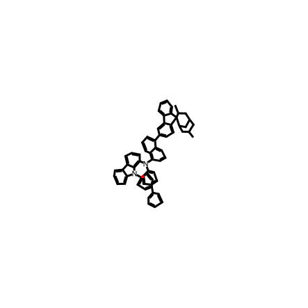 CC1CC2CC(C)C3(c4ccccc4-c4cc(-c5cccc6c(N(c7ccc(-c8ccccc8)cc7)c7cccc8c9ccccc9n(-c9ccccc9)c78)cccc56)ccc43)C(C1)C2